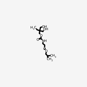 C=C(C)COOCCNC(=O)OCC(CC)(CO)CO